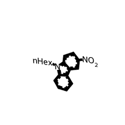 CCCCCCn1c2ccccc2c2cc([N+](=O)[O-])ccc21